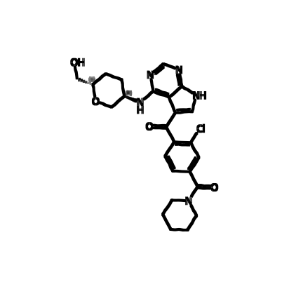 O=C(c1ccc(C(=O)N2CCCCC2)cc1Cl)c1c[nH]c2ncnc(N[C@@H]3CC[C@@H](CO)OC3)c12